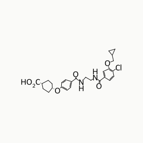 O=C(NCCNC(=O)c1ccc(Cl)c(OCC2CC2)c1)c1ccc(O[C@H]2CC[C@@H](C(=O)O)CC2)cc1